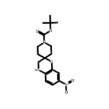 CC(C)(C)OC(=O)N1CCC2(CC1)CNc1ccc([N+](=O)[O-])cc1O2